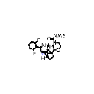 CNC(=O)N1CCO[C@@H]([C@@]23CC[C@@H](/C(=C/C(=N)c4c(F)cccc4F)C2=N)C3(C)C)C1